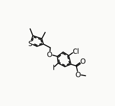 COC(=O)c1cc(I)c(OCc2csc(C)c2C)cc1Cl